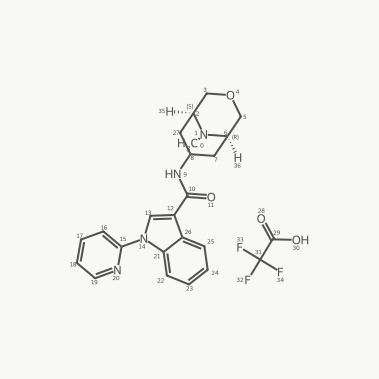 CN1[C@@H]2COC[C@H]1CC(NC(=O)c1cn(-c3ccccn3)c3ccccc13)C2.O=C(O)C(F)(F)F